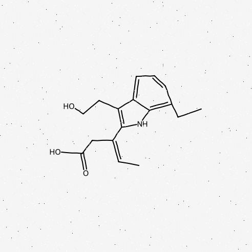 C/C=C(/CC(=O)O)c1[nH]c2c(CC)cccc2c1CCO